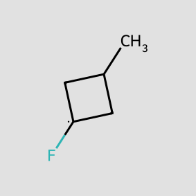 CC1C[C](F)C1